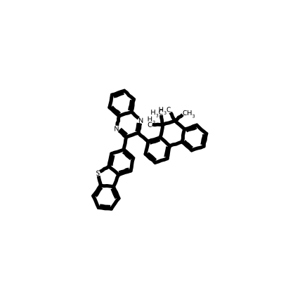 CC1(C)c2ccccc2-c2cccc(-c3nc4ccccc4nc3-c3ccc4c(c3)sc3ccccc34)c2C1(C)C